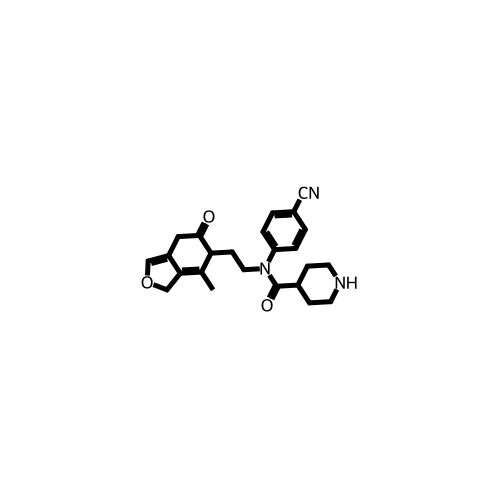 CC1=C2COC=C2CC(=O)C1CCN(C(=O)C1CCNCC1)c1ccc(C#N)cc1